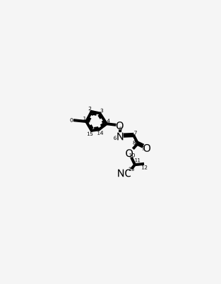 Cc1ccc(ON=CC(=O)OC(C)C#N)cc1